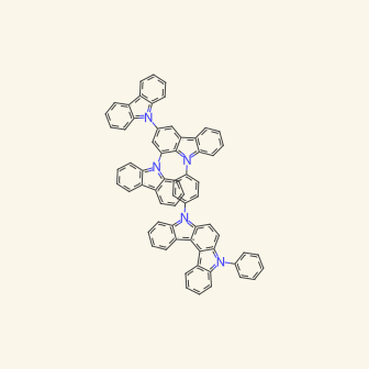 c1ccc(-n2c3ccccc3c3c4c5ccccc5n(-c5ccc(-n6c7ccccc7c7cc(-n8c9ccccc9c9ccccc98)cc(-n8c9ccccc9c9ccccc98)c76)cc5)c4ccc32)cc1